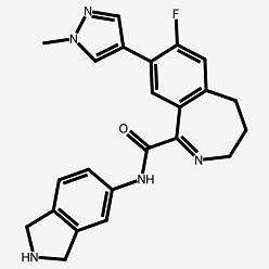 Cn1cc(-c2cc3c(cc2F)CCCN=C3C(=O)Nc2ccc3c(c2)CNC3)cn1